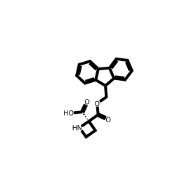 O=C(O)[C@]1(C(=O)OCC2c3ccccc3-c3ccccc32)CCN1